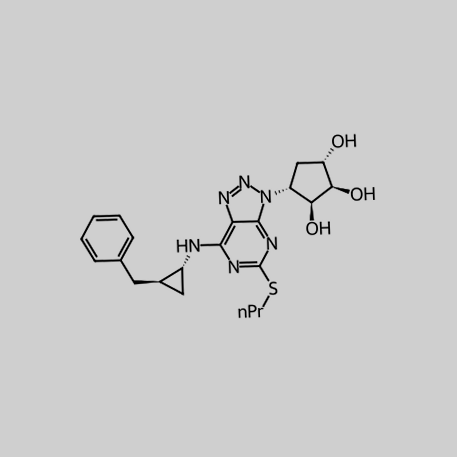 CCCSc1nc(N[C@@H]2C[C@H]2Cc2ccccc2)c2nnn([C@@H]3C[C@H](O)[C@@H](O)[C@H]3O)c2n1